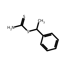 CC(SC(N)=S)c1ccccc1